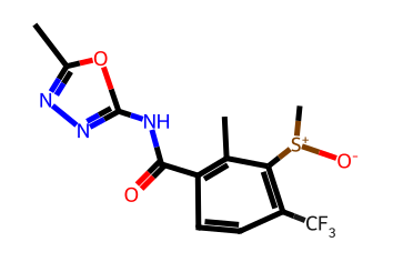 Cc1nnc(NC(=O)c2ccc(C(F)(F)F)c([S+](C)[O-])c2C)o1